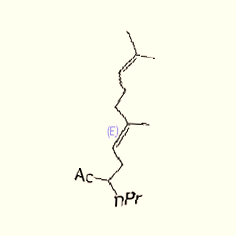 CCCC(C/C=C(\C)CCC=C(C)C)C(C)=O